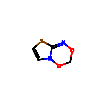 C1=CN2OCON=C2S1